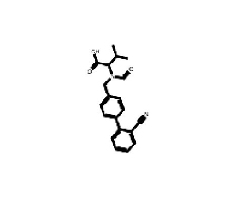 CC(C)C(C(=O)O)N(C=O)Cc1ccc(-c2ccccc2C#N)cc1